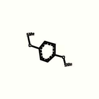 CSOc1ccc(OSC)cc1